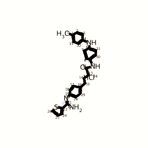 Cc1ccc(Nc2ccc(NC(=O)CCCc3ccc(/N=C(\N)c4cccs4)cc3)cc2)cc1.Cl